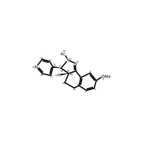 COc1ccc2c(c1)C1=NN(C(C)=O)[C@H](c3ccncc3)[C@H]1CC2